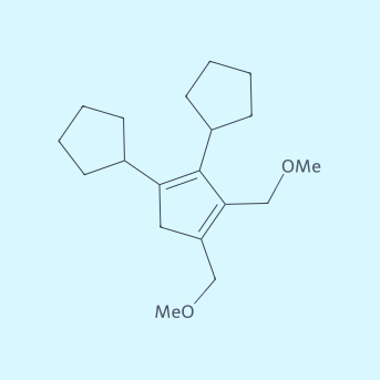 COCC1=C(COC)C(C2CCCC2)=C(C2CCCC2)C1